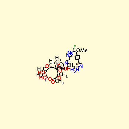 CO[C@H](c1ccc(-c2cnc(N)s2)cc1)[C@@H](CF)n1cc(CCN(C)[C@H]2C[C@@H](C)O[C@@H](O[C@@H]3[C@@H](C)C(=O)[C@@H](C)C(=O)O[C@H](I)[C@@](C)(O)[C@H](O)[C@@H](C)C(=O)[C@H](C)C[C@@]3(C)OC)[C@@H]2O)nn1